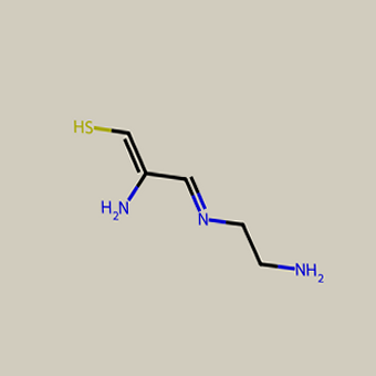 NCC/N=C/C(N)=C/S